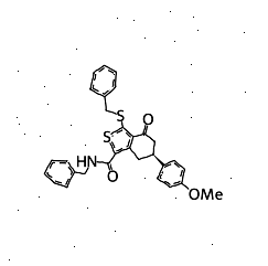 COc1ccc([C@@H]2CC(=O)c3c(SCc4ccccc4)sc(C(=O)NCc4ccccc4)c3C2)cc1